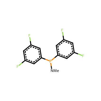 CNP(c1cc(F)cc(F)c1)c1cc(F)cc(F)c1